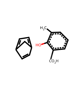 C1=CC2=CC=C1C2.Cc1cccc(C(=O)O)c1O